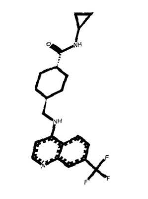 O=C(NC1CC1)[C@H]1CC[C@H](CNc2ccnc3cc(C(F)(F)F)ccc23)CC1